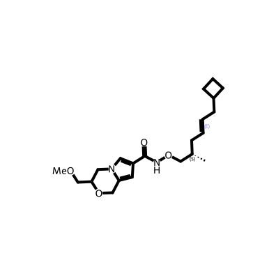 COCC1Cn2cc(C(=O)NOC[C@@H](C)C/C=C/CC3CCC3)cc2CO1